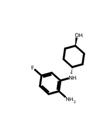 Nc1ccc(F)cc1N[C@H]1CC[C@H](O)CC1